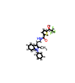 Cc1c(CCNC(=O)c2ccc(C(=O)C(F)(F)F)s2)c2ccccc2n1-c1ccccc1